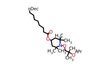 CCCCCCCCCCCCCCCCCC(=O)OC1CC(C)(C)N(OCC(C)(C)OCCC)C(C)(C)C1